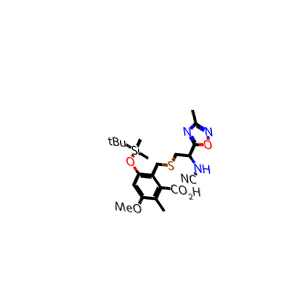 COc1cc(O[Si](C)(C)C(C)(C)C)c(CSCC(NC#N)c2nc(C)no2)c(C(=O)O)c1C